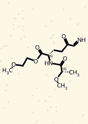 COCCOC(=O)[C@H](CCC(=O)C=N)NC(=O)[C@H](C)OC